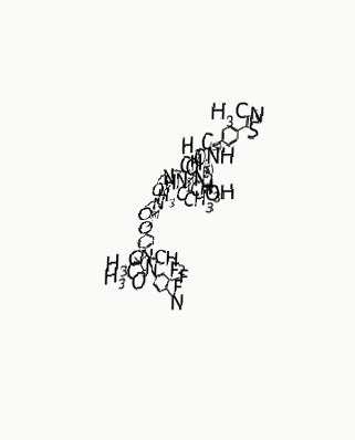 C=C(CN1CCOC(CN2CCO[C@@H](COc3ccc(N4C(=C)N(c5ccc(C#N)c(C(F)(F)F)c5)C(=O)C4(C)C)cc3)C2)C1)N[C@H](C(=O)N1C[C@H](O)C[C@H]1C(=O)N[C@@H](C)c1ccc(-c2scnc2C)cc1)C(C)(C)C